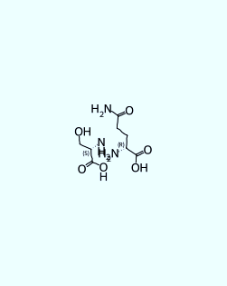 NC(=O)CC[C@@H](N)C(=O)O.N[C@@H](CO)C(=O)O